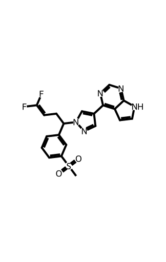 CS(=O)(=O)c1cccc(C(CC=C(F)F)n2cc(-c3ncnc4[nH]ccc34)cn2)c1